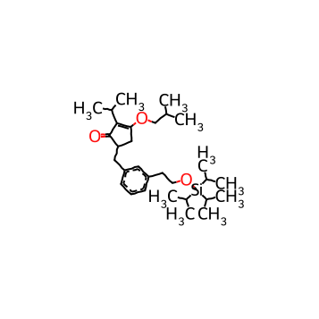 CC(C)COC1=C(C(C)C)C(=O)C(Cc2cccc(CCO[Si](C(C)C)(C(C)C)C(C)C)c2)C1